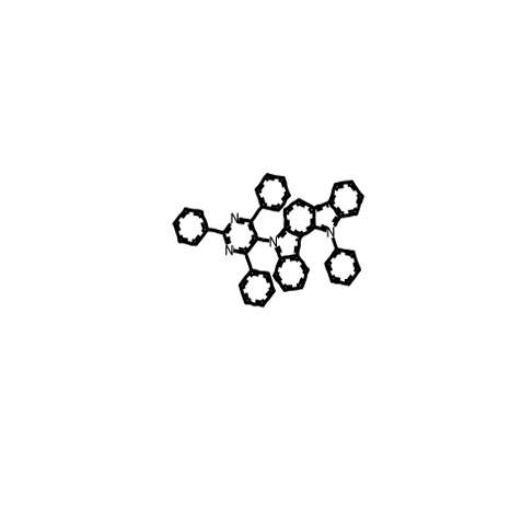 c1ccc(-c2nc(-c3ccccc3)c(-n3c4ccccc4c4c3ccc3c5ccccc5n(-c5ccccc5)c34)c(-c3ccccc3)n2)cc1